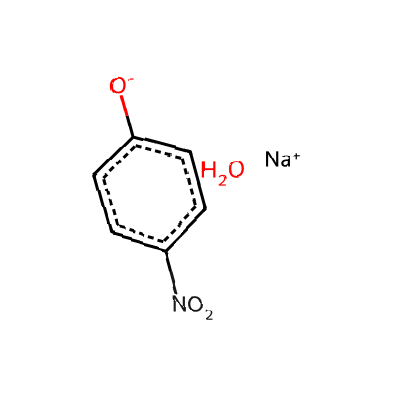 O.O=[N+]([O-])c1ccc([O-])cc1.[Na+]